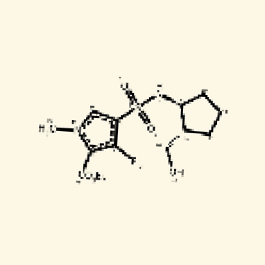 CCOC(=O)c1c(F)c(S(=O)(=O)N[C@H]2CCC[C@@H]2CO)cn1C